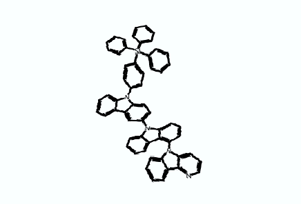 c1ccc([Si](c2ccccc2)(c2ccccc2)c2ccc(-n3c4ccccc4c4cc(-n5c6ccccc6c6c(-n7c8ccccc8c8ncccc87)cccc65)ccc43)cc2)cc1